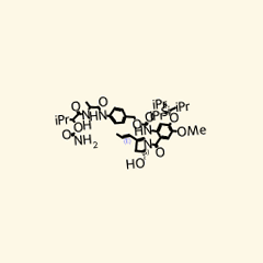 C/C=C/C1=CN(C(=O)c2cc(OC)c(O[Si](C(C)C)(C(C)C)C(C)C)cc2NC(=O)OCc2ccc(NC(=O)C(C)NC(=O)C(OC(N)=O)C(C)C)cc2)[C@H](CO)C1